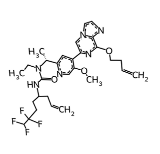 C=CCCOc1nc(-c2cc([C@@H](C)N(CC)C(=O)NC(CC=C)CCC(F)(F)C(F)F)ncc2OC)cn2ccnc12